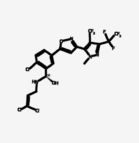 Cn1nc(C(F)(F)C(F)(F)F)c(C(F)(F)F)c1-c1cc(-c2ccc(Cl)c([C@H](O)NCC=C(Cl)Cl)c2)on1